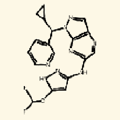 FC(F)Oc1cc(Nc2cnc3cnn([C@@H](c4cccnc4)C4CC4)c3n2)n[nH]1